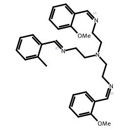 COc1ccccc1/C=N\CCN(CC/N=C\c1ccccc1OC)CC/N=C/c1ccccc1C